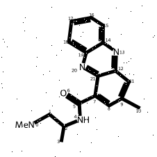 CNCC(C)NC(=O)c1cc(C)cc2nc3ccccc3nc12